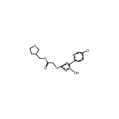 O=C(COc1nc(-c2ccc(Cl)cn2)n(O)n1)OCC1CCOC1